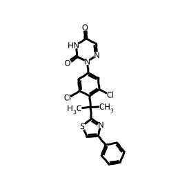 CC(C)(c1nc(-c2ccccc2)cs1)c1c(Cl)cc(-n2ncc(=O)[nH]c2=O)cc1Cl